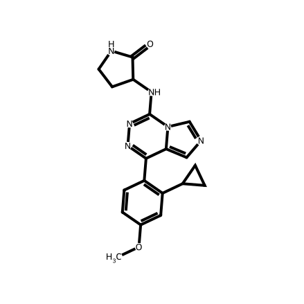 COc1ccc(-c2nnc(NC3CCNC3=O)n3cncc23)c(C2CC2)c1